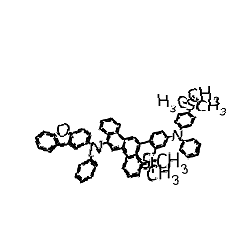 C[Si](C)(C)c1ccc(N(c2ccccc2)c2ccc3c(c2)[Si](C)(C)c2cccc4c2c-3cc2c3ccccc3c(N(c3ccccc3)c3ccc5oc6ccccc6c5c3)cc42)cc1